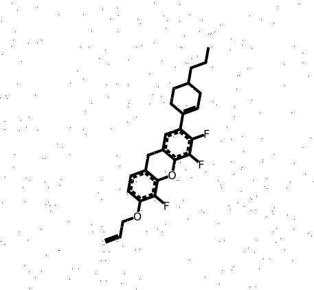 C=CCOc1ccc2c(c1F)Oc1c(cc(C3=CCC(CCC)CC3)c(F)c1F)C2